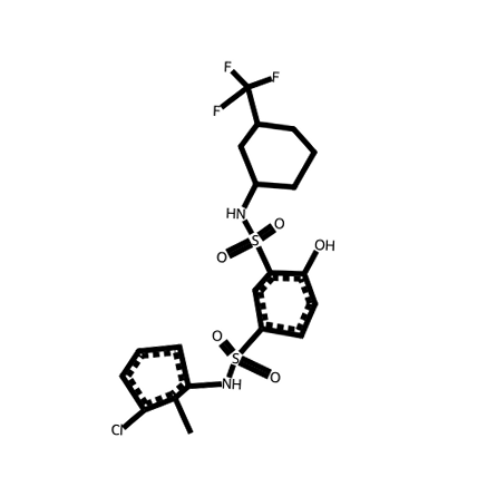 Cc1c(Cl)cccc1NS(=O)(=O)c1ccc(O)c(S(=O)(=O)NC2CCCC(C(F)(F)F)C2)c1